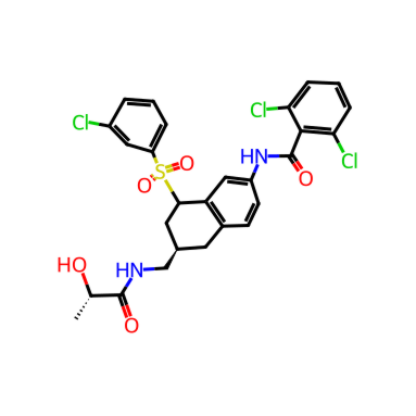 C[C@H](O)C(=O)NC[C@@H]1Cc2ccc(NC(=O)c3c(Cl)cccc3Cl)cc2C(S(=O)(=O)c2cccc(Cl)c2)C1